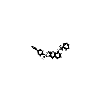 N#Cc1ccc(S(=O)(=O)Nc2cc3cccc(OS(=O)(=O)c4ccccc4)c3oc2=O)cc1